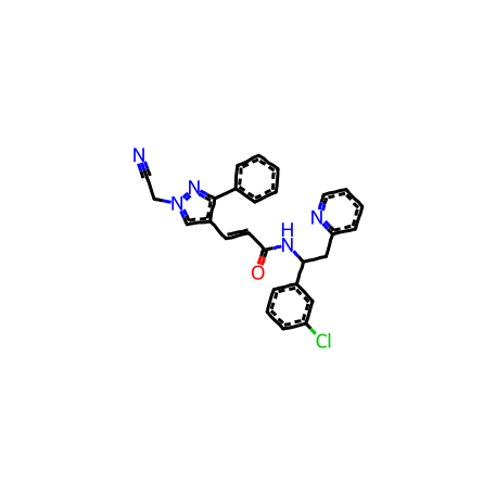 N#CCn1cc(/C=C/C(=O)NC(Cc2ccccn2)c2cccc(Cl)c2)c(-c2ccccc2)n1